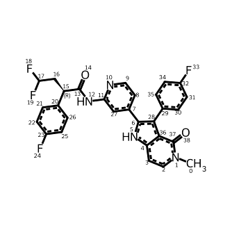 Cn1ccc2[nH]c(-c3ccnc(NC(=O)[C@H](CC(F)F)c4ccc(F)cc4)c3)c(-c3ccc(F)cc3)c2c1=O